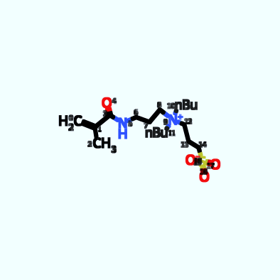 C=C(C)C(=O)NCCC[N+](CCCC)(CCCC)CCCS(=O)(=O)[O-]